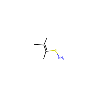 CC(C)=C(C)SN